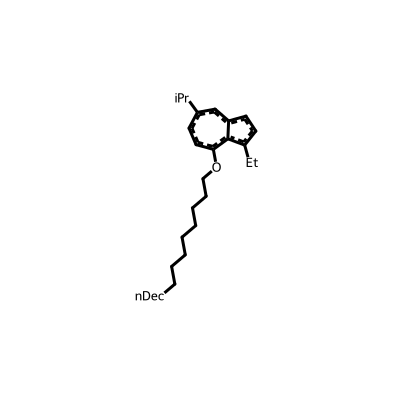 CCCCCCCCCCCCCCCCCCOc1ccc(C(C)C)cc2ccc(CC)c1-2